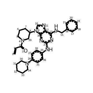 C=CC(=O)N1CCCC(n2cnc3c(NCc4ccccc4)nc(Nc4ccc(N5CCCCC5)cc4)nc32)C1